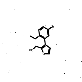 CCc1ccc(Br)cc1-c1ccoc1CO